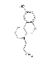 CCCN1CCCC2c3cc(O)ccc3OCC21